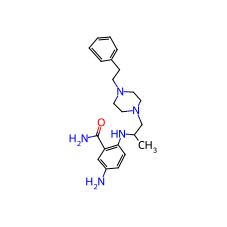 CC(CN1CCN(CCc2ccccc2)CC1)Nc1ccc(N)cc1C(N)=O